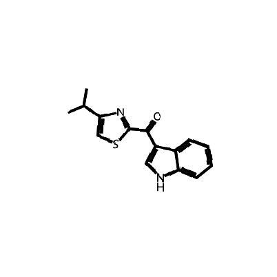 CC(C)c1csc(C(=O)c2c[nH]c3ccccc23)n1